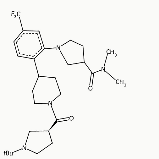 CN(C)C(=O)C1CCN(c2cc(C(F)(F)F)ccc2C2CCN(C(=O)[C@H]3CCN(C(C)(C)C)C3)CC2)C1